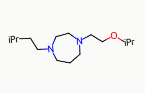 CC(C)CCN1CCCN(CCOC(C)C)CC1